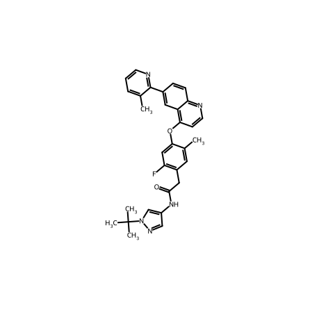 Cc1cc(CC(=O)Nc2cnn(C(C)(C)C)c2)c(F)cc1Oc1ccnc2ccc(-c3ncccc3C)cc12